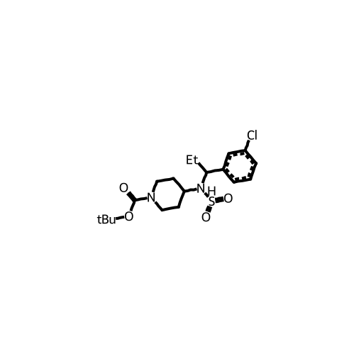 CCC(c1cccc(Cl)c1)N(C1CCN(C(=O)OC(C)(C)C)CC1)[SH](=O)=O